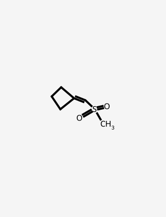 CS(=O)(=O)C=C1CCC1